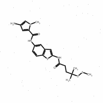 CSSC(C)(C)CCC(=O)Nc1cc2cc(NC(=O)c3cc(N)cn3C)ccc2s1